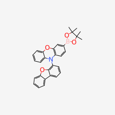 CC1(C)OB(c2ccc3c(c2)Oc2ccccc2N3c2cccc3c2oc2ccccc23)OC1(C)C